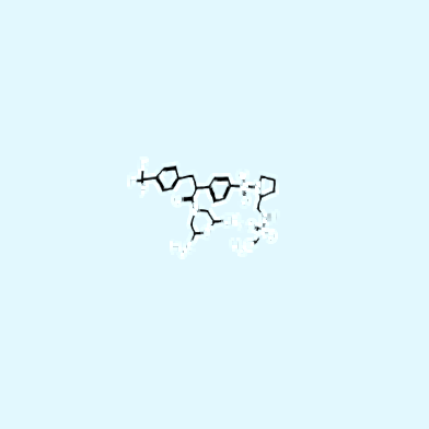 C=CS(=O)(=O)NCC1CCCN1S(=O)(=O)c1ccc(C(Cc2ccc(C(F)(F)F)cc2)C(=O)N2CC(C)OC(C)C2)cc1